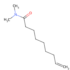 C=CCCCCCCC(=O)N(C)C